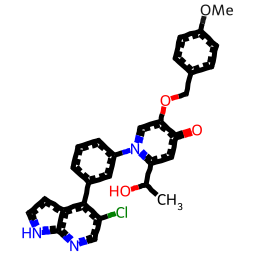 COc1ccc(COc2cn(-c3cccc(-c4c(Cl)cnc5[nH]ccc45)c3)c(C(C)O)cc2=O)cc1